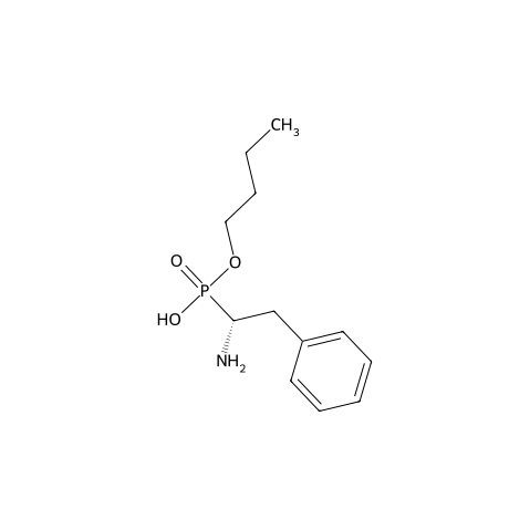 CCCCOP(=O)(O)[C@@H](N)Cc1ccccc1